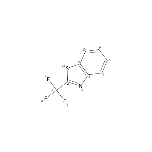 FC(F)(F)c1nc2[c]cccc2s1